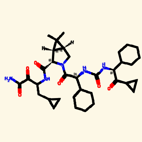 CC1(C)[C@@H]2[C@@H](C(=O)NC(CC3CC3)C(=O)C(N)=O)N(C(=O)[C@@H](NC(=O)N[C@H](C(=O)C3CC3)C3CCCCC3)C3CCCCC3)C[C@@H]21